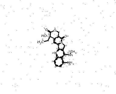 CC[C@@]1(O)C(=O)OCc2c1cc1n(c2=O)Cc2c-1nc1cccc(N)c1c2NC